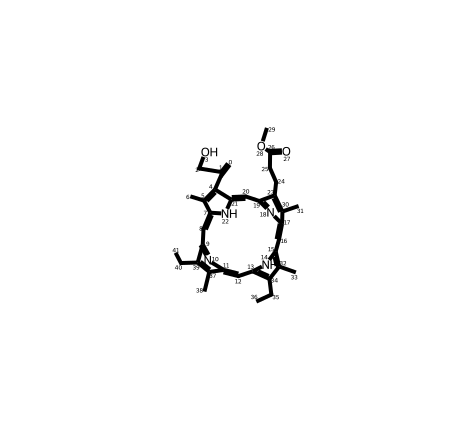 C=C(CO)c1c(C)c2cc3nc(cc4[nH]c(cc5nc(cc1[nH]2)C(CCC(=O)OC)=C5C)c(C)c4CC)C(C)=C3CC